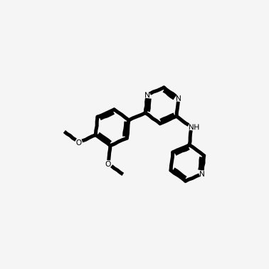 COc1ccc(-c2cc(Nc3cccnc3)ncn2)cc1OC